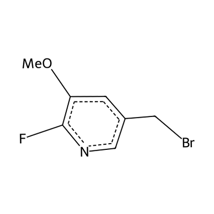 COc1cc(CBr)cnc1F